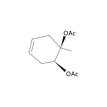 CC(=O)O[C@H]1CC=CC[C@@]1(C)OC(C)=O